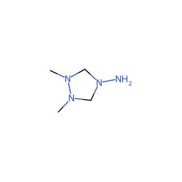 CN1CN(N)CN1C